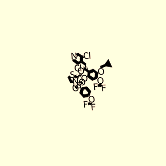 O=C(O[C@@H](Cc1c(Cl)cncc1Cl)c1ccc(OC(F)F)c(OCC2CC2)c1)[C@@H]1SCCN1S(=O)(=O)c1ccc(OC(F)F)cc1